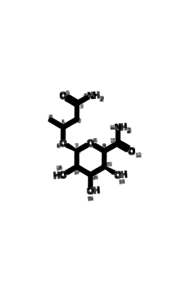 CC(CC(N)=O)O[C@H]1OC(C(N)=O)[C@@H](O)C(O)C1O